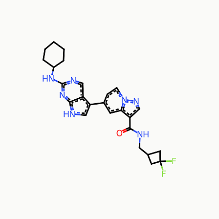 O=C(NCC1CC(F)(F)C1)c1cnn2ccc(-c3c[nH]c4nc(NC5CCCCC5)ncc34)cc12